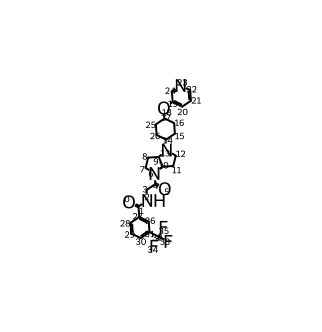 O=C(NCC(=O)N1CCC2C1CCN2[C@H]1CC[C@H](Oc2cccnc2)CC1)c1cccc(C(F)(F)F)c1